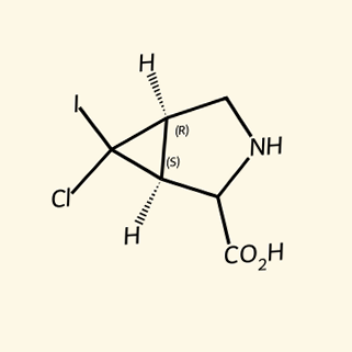 O=C(O)C1NC[C@H]2[C@@H]1C2(Cl)I